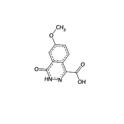 COc1ccc2c(C(=O)O)n[nH]c(=O)c2c1